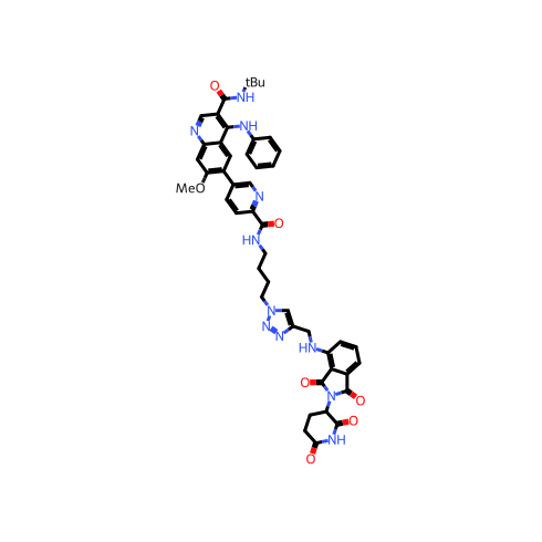 COc1cc2ncc(C(=O)NC(C)(C)C)c(Nc3ccccc3)c2cc1-c1ccc(C(=O)NCCCCn2cc(CNc3cccc4c3C(=O)N(C3CCC(=O)NC3=O)C4=O)nn2)nc1